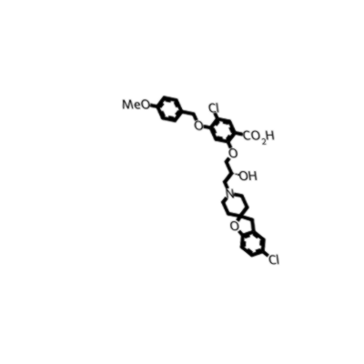 COc1ccc(COc2cc(OC[C@H](O)CN3CCC4(CC3)Cc3cc(Cl)ccc3O4)c(C(=O)O)cc2Cl)cc1